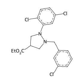 CCOC(=O)C1CN(Cc2cccc(Cl)c2)N(c2cc(Cl)ccc2Cl)C1